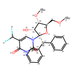 CC(C)(C)OC[C@H]1O[C@](n2cc(C(F)F)c(=O)[nH]c2=O)([SiH](c2ccccc2)c2ccccc2)[C@H](O)[C@@H]1OC(C)(C)C